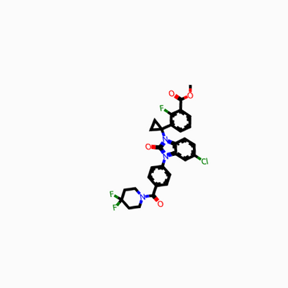 COC(=O)c1cccc(C2(n3c(=O)n(-c4ccc(C(=O)N5CCC(F)(F)CC5)cc4)c4cc(Cl)ccc43)CC2)c1F